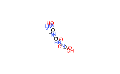 Cc1nn(Cc2cccc(C(=O)NCC(=O)N3CCC(C(=O)O)CC3)c2)c2ccc(/C(N)=N/O)cc12